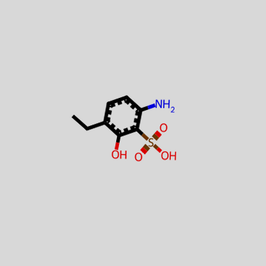 CCc1ccc(N)c(S(=O)(=O)O)c1O